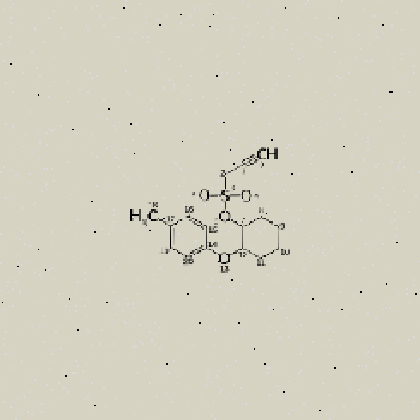 C#CCS(=O)(=O)OC1CCCCC1Oc1ccc(C)cc1